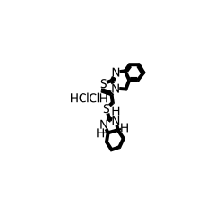 C1=C(CSC2=N[C@@H]3CCCC[C@H]3N2)N2Cc3ccccc3N=C2S1.Cl.Cl